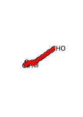 O=CCOCCOCCOCCOCCOCCOCCOCCOCCOCCOCCOc1cc(Cl)cc(NC(=O)NCc2ccc3c(c2)CN(C2CCC(=O)NC2=O)C3=O)c1